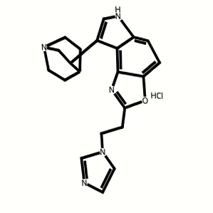 Cl.c1cn(CCc2nc3c(ccc4[nH]cc(C5CN6CCC5CC6)c43)o2)cn1